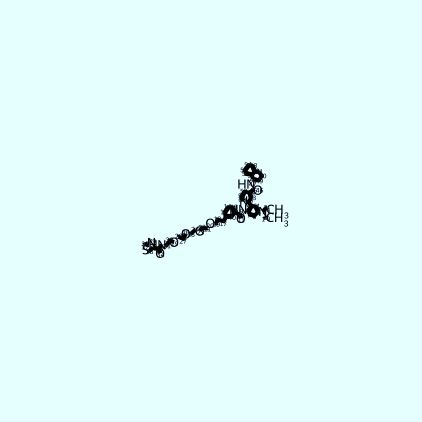 CCN(CC)c1ccc(NC(=O)c2cccc(CCCOCCOCCOCCOCCNC(=O)C3CSC=N3)c2)c(-c2cc(C(=O)NC3CCCc4ccccc43)ccn2)c1